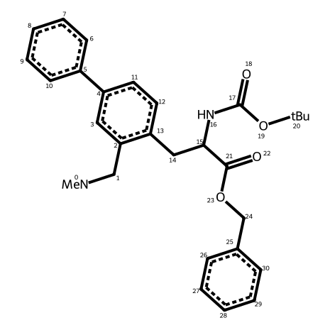 CNCc1cc(-c2ccccc2)ccc1CC(NC(=O)OC(C)(C)C)C(=O)OCc1ccccc1